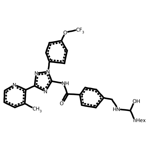 CCCCCCC(O)NCc1ccc(C(=O)Nc2nc(-c3ncccc3C)nn2-c2ccc(OC(F)(F)F)cc2)cc1